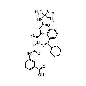 CC(C)(C)NC(=O)CN1C(=O)N(CC(=O)Nc2cccc(C(=O)O)c2)N=C(C2CCCCC2)c2ccccc21